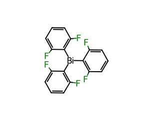 Fc1cccc(F)[c]1[Bi]([c]1c(F)cccc1F)[c]1c(F)cccc1F